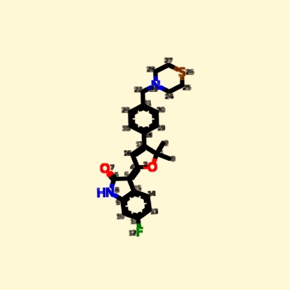 CC1(C)O/C(=C2/C(=O)Nc3cc(F)ccc32)C=C1c1ccc(CN2CCSCC2)cc1